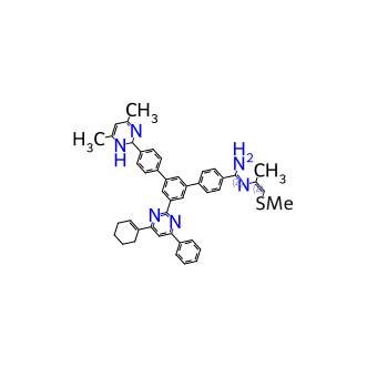 CS/C=C(C)\N=C(/N)c1ccc(-c2cc(-c3ccc(C4N=C(C)C=C(C)N4)cc3)cc(-c3nc(C4=CCCCC4)cc(-c4ccccc4)n3)c2)cc1